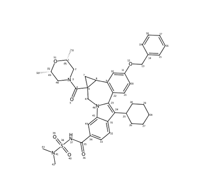 C[C@@H]1CN(C(=O)C23CC2c2cc(OCc4ccccc4)ccc2-c2c(C4CCCCC4)c4ccc(C(=O)NS(=O)(=O)N(C)C)cc4n2C3)C[C@H](C)O1